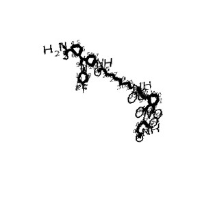 NC(=S)c1cccc(-c2cn(C3CCC(F)(F)CC3)c3cc(NC(=O)CCCCCCCCNC(=O)CCc4cccc5c4C(=O)N(C4CCC(=O)NC4=O)C5=O)ccc23)c1